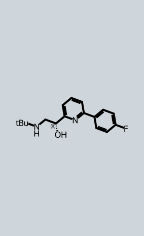 CC(C)(C)NC[C@@H](O)c1cccc(-c2ccc(F)cc2)n1